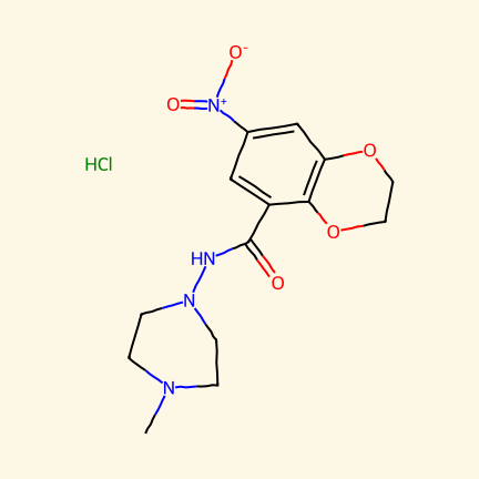 CN1CCN(NC(=O)c2cc([N+](=O)[O-])cc3c2OCCO3)CC1.Cl